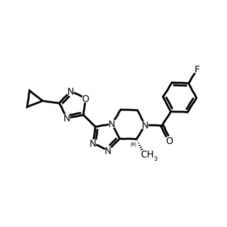 C[C@@H]1c2nnc(-c3nc(C4CC4)no3)n2CCN1C(=O)c1ccc(F)cc1